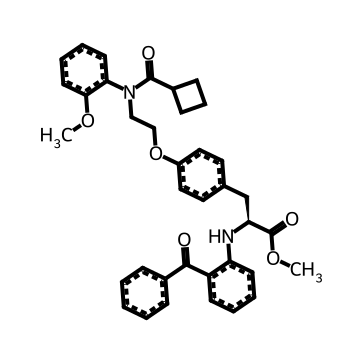 COC(=O)[C@H](Cc1ccc(OCCN(C(=O)C2CCC2)c2ccccc2OC)cc1)Nc1ccccc1C(=O)c1ccccc1